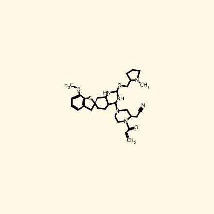 C=CC(=O)N1CCN(C2NC(OCC3CCCN3C)NC3C[C@@]4(CCC32)Cc2cccc(OC)c2S4)CC1CC#N